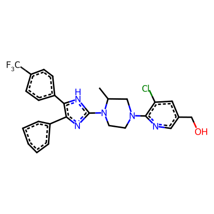 CC1CN(c2ncc(CO)cc2Cl)CCN1c1nc(-c2ccccc2)c(-c2ccc(C(F)(F)F)cc2)[nH]1